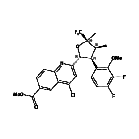 COC(=O)c1ccc2nc([C@@H]3O[C@@](C)(C(F)(F)F)[C@@H](C)[C@H]3c3ccc(F)c(F)c3OC)cc(Cl)c2c1